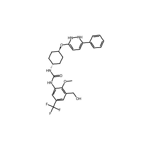 COc1c(CO)cc(C(F)(F)F)cc1NC(=O)N[C@H]1CC[C@H](OC2=CC=C(c3ccccc3)NN2)CC1